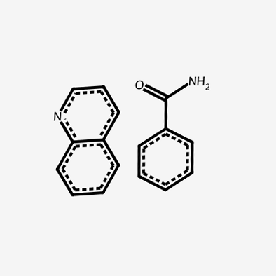 NC(=O)c1ccccc1.c1ccc2ncccc2c1